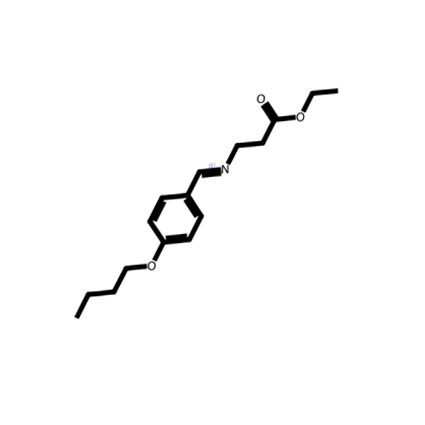 CCCCOc1ccc(/C=N/CCC(=O)OCC)cc1